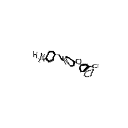 N[C@H]1CC[C@H](CCN2CCC(Oc3ccc(Cl)c(Cl)c3)CC2)CC1